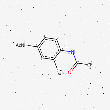 CC(=O)Nc1ccc(NC(=O)C(F)(F)F)c(C(F)(F)F)c1